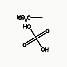 CC(=O)O.O=S(=O)(O)O.[Cr]